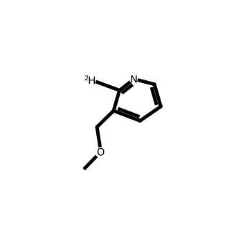 [2H]c1ncccc1COC